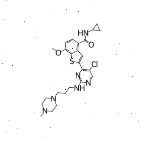 COc1ccc(C(=O)NC2CC2)c2cc(-c3nc(NCCCN4CCN(C)CC4)ncc3Cl)sc12